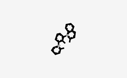 Cc1c(-[n+]2ccccc2C)cccc1-[n+]1c(C)ccc2ccccc21